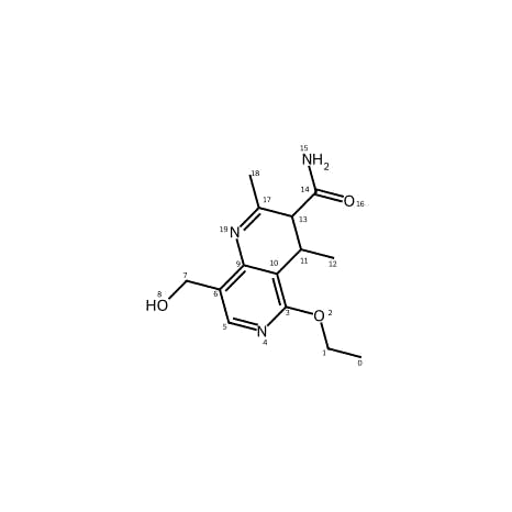 CCOc1ncc(CO)c2c1C(C)C(C(N)=O)C(C)=N2